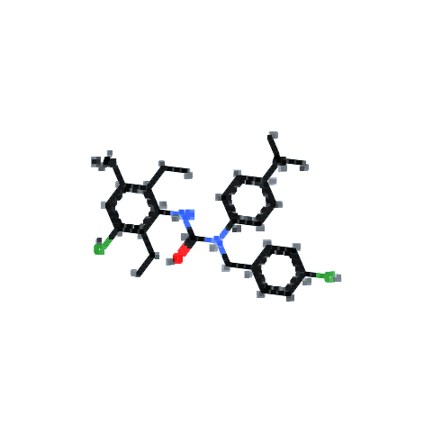 CCc1c(Cl)cc([AsH2])c(CC)c1NC(=O)N(Cc1ccc(Cl)cc1)c1ccc([As](C)C)cc1